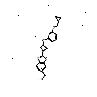 OCc1ccc2nc(C3CC(Oc4cccc(OCC5CC5)c4)C3)oc2c1